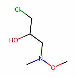 CON(C)CC(O)CCl